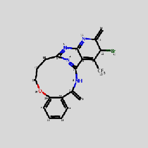 C=C1Nc2nc(nc3c2=C(C(F)(F)F)C(Br)C(=C)N=3)CCCOc2ccccc21